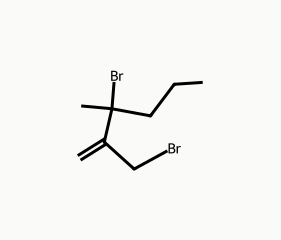 C=C(CBr)C(C)(Br)CCC